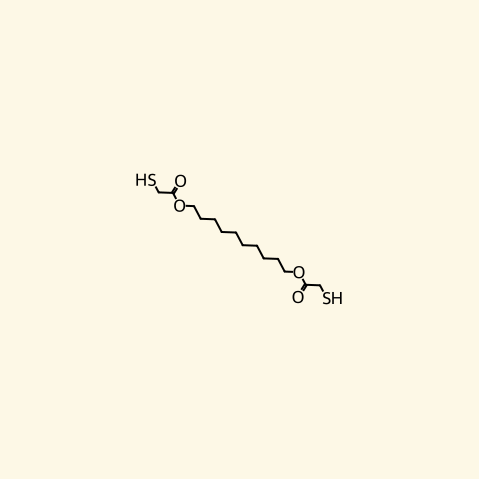 O=C(CS)OCCCCCCCCCCOC(=O)CS